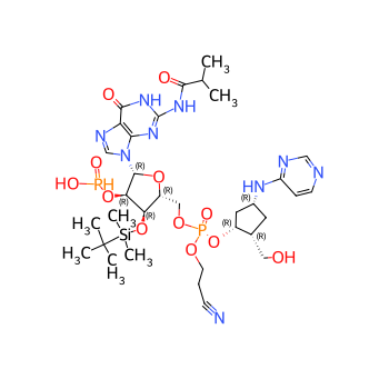 CC(C)C(=O)Nc1nc2c(ncn2[C@@H]2O[C@H](COP(=O)(OCCC#N)O[C@@H]3C[C@H](Nc4ccncn4)C[C@@H]3CO)[C@@H](O[Si](C)(C)C(C)(C)C)[C@H]2O[PH](=O)O)c(=O)[nH]1